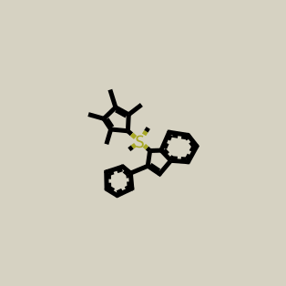 CC1=C(C)C(S(C)(C)C2C(c3ccccc3)=Cc3ccccc32)C(C)=C1C